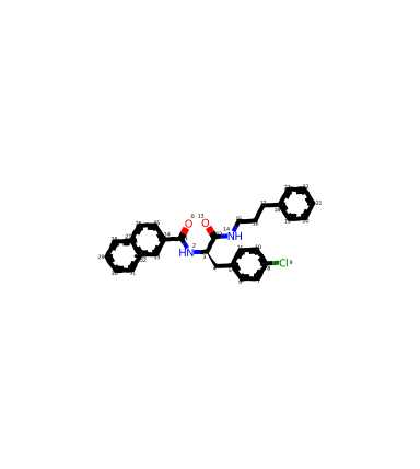 O=C(N[C@H](Cc1ccc(Cl)cc1)C(=O)NCCCc1ccccc1)c1ccc2ccccc2c1